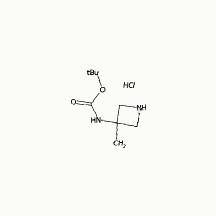 CC1(NC(=O)OC(C)(C)C)CNC1.Cl